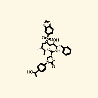 CC[C@H](C)CN(C[C@@H](O)[C@H](Cc1ccccc1)NC(=O)[C@@H]1CN(c2ccc(C(C)O)cc2)C(=O)O1)S(=O)(=O)c1ccc2ncsc2c1